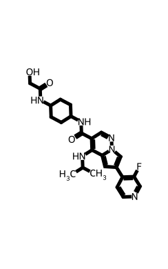 CC(C)Nc1c(C(=O)NC2CCC(NC(=O)CO)CC2)cnn2cc(-c3ccncc3F)cc12